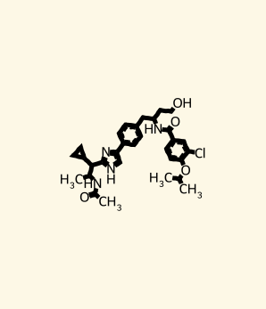 CC(=O)NC(C)C(c1nc(-c2ccc(CC(CCO)NC(=O)c3ccc(OC(C)C)c(Cl)c3)cc2)c[nH]1)C1CC1